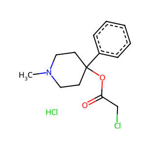 CN1CCC(OC(=O)CCl)(c2ccccc2)CC1.Cl